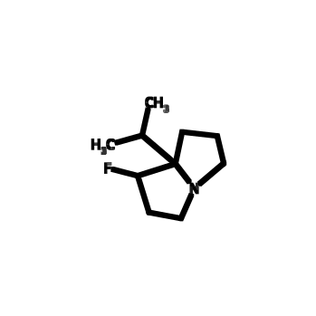 CC(C)C12CCCN1CCC2F